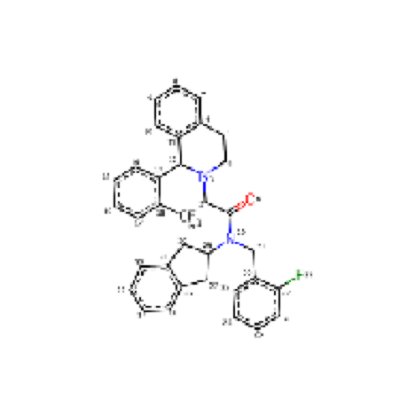 O=C(CN1CCc2ccccc2C1c1ccccc1C(F)(F)F)N(Cc1ccccc1F)C1Cc2ccccc2C1